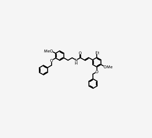 CCc1cc(OC)c(OCc2ccccc2)cc1C=CC(=O)NCCc1ccc(OC)c(OCc2ccccc2)c1